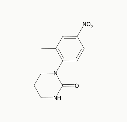 Cc1cc([N+](=O)[O-])ccc1N1CCCNC1=O